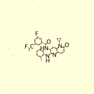 Cc1ccccc1Nc1nc2ccc(=O)n(C3CC3)c2cc1NC(=O)c1cc(F)cc(C(F)(F)F)c1